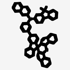 CC1(C)c2ccccc2-c2ccc(N(c3cccc(-c4ccc5c(c4)-c4ccccc4C54c5ccc6ccccc6c5Oc5c4ccc4ccccc54)c3)c3ccc4ccccc4c3)cc21